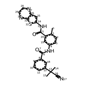 Cc1ccc(NC(=O)c2cccc(C(C)(C)C#N)c2)cc1C(=O)Nc1cc2nccnc2s1